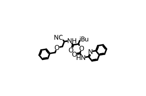 CCC(C)C(OC(=O)Nc1ccc2ccccc2n1)C(=O)NC(C#N)COCc1ccccc1